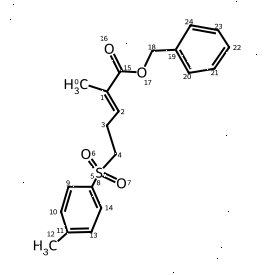 C/C(=C\CCS(=O)(=O)c1ccc(C)cc1)C(=O)OCc1ccccc1